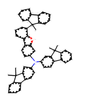 CC1(C)c2ccccc2-c2ccc(N(c3ccc4c(c3)C(C)(C)c3ccccc3-4)c3ccc4c(c3)oc3c(C5(C)c6ccccc6-c6ccccc65)cccc34)cc21